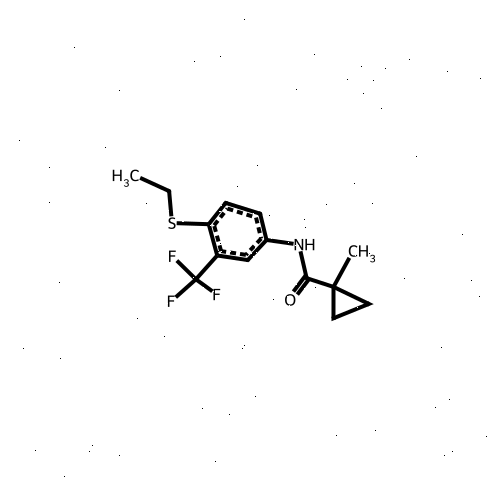 CCSc1ccc(NC(=O)C2(C)CC2)cc1C(F)(F)F